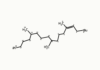 CC(=CCC(C)(C)C)CCCC(C)CCCC(C)CCCC(C)C